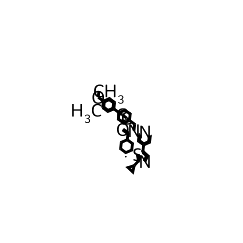 COc1ccc(C23CCC(CN(C(=O)C4CC[CH]CC4)c4cc(-c5cnc(C6CC6)s5)ccn4)(CC2)CC3)cc1C